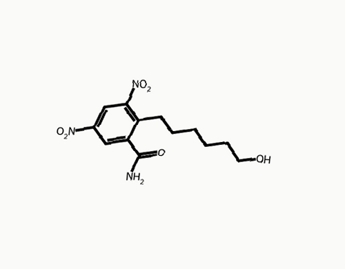 NC(=O)c1cc([N+](=O)[O-])cc([N+](=O)[O-])c1CCCCCCO